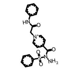 NN(C(=O)c1cc[n+](CC(=O)Nc2ccccc2)cc1)S(=O)(=O)c1ccccc1